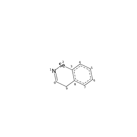 C1=N[Se]c2ccccc2C1